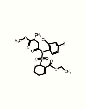 CCOC(=O)C1=CCCC[C@H]1S(=O)(=O)N(C(=O)C[C@@H](C)C(=O)OC)c1ccc(F)cc1Cl